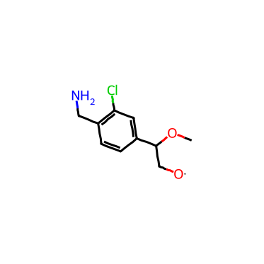 COC(C[O])c1ccc(CN)c(Cl)c1